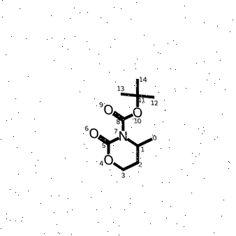 CC1CCOC(=O)N1C(=O)OC(C)(C)C